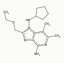 CCOCc1nc2c(N)nc(C)c(C)c2n1NC1CCCC1